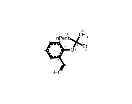 [CH]=Cc1cc[c]cc1OC(C)(CC)CCCCC